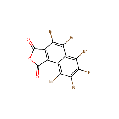 O=C1OC(=O)c2c1c(Br)c(Br)c1c(Br)c(Br)c(Br)c(Br)c21